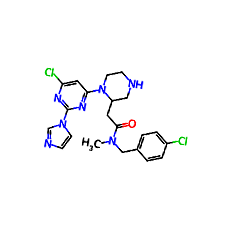 CN(Cc1ccc(Cl)cc1)C(=O)CC1CNCCN1c1cc(Cl)nc(-n2ccnc2)n1